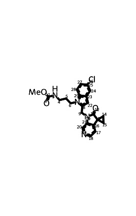 COC(=O)NCCCn1c(CN2C(=O)C3(CC3)c3ccncc32)cc2cc(Cl)ccc21